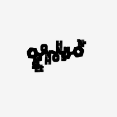 CCSn1cc(C(=O)NCC(=O)Nc2nc(-c3cccc(N(C)C)c3)cs2)c2ccccc21